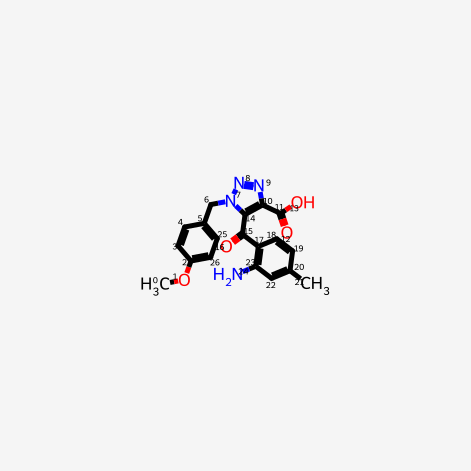 COc1ccc(Cn2nnc(C(=O)O)c2C(=O)c2ccc(C)cc2N)cc1